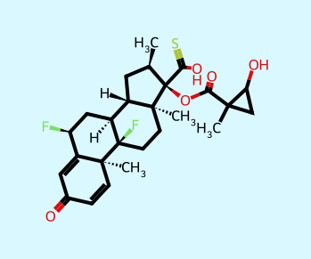 C[C@@H]1C[C@H]2[C@@H]3C[C@H](F)C4=CC(=O)C=C[C@]4(C)[C@@]3(F)CC[C@]2(C)[C@@]1(OC(=O)C1(C)CC1O)C(O)=S